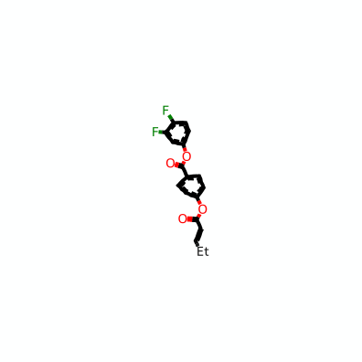 CC/C=C/C(=O)Oc1ccc(C(=O)Oc2ccc(F)c(F)c2)cc1